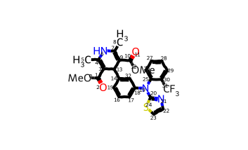 COC(=O)C1=C(C)NC(C)=C(C(=O)OC)C1c1cccc(N(c2nccs2)c2ccccc2C(F)(F)F)c1